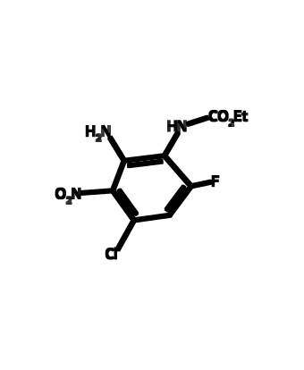 CCOC(=O)Nc1c(F)cc(Cl)c([N+](=O)[O-])c1N